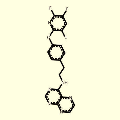 Fc1cc(F)c(Oc2ccc(CCNc3ncnc4nccnc34)cc2)nc1F